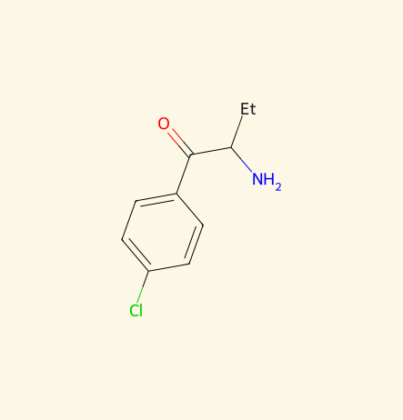 CCC(N)C(=O)c1ccc(Cl)cc1